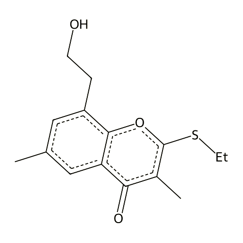 CCSc1oc2c(CCO)cc(C)cc2c(=O)c1C